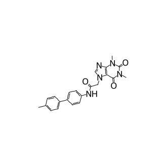 Cc1ccc(-c2ccc(NC(=O)Cn3cnc4c3c(=O)n(C)c(=O)n4C)cc2)cc1